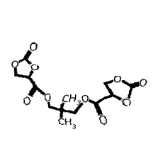 CC(C)(COC(=O)C1COC(=O)O1)COC(=O)C1COC(=O)O1